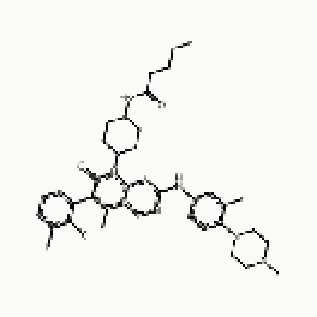 CCCCC(=O)NC1CCC(n2c(=O)c(-c3cccc(F)c3Cl)c(C)c3cnc(Nc4ccc(N5CCN(C)CC5)c(C)c4)nc32)CC1